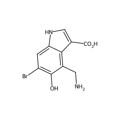 NCc1c(O)c(Br)cc2[nH]cc(C(=O)O)c12